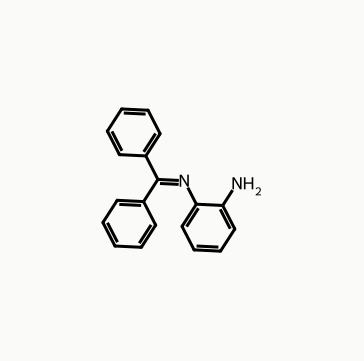 Nc1ccccc1N=C(c1ccccc1)c1ccccc1